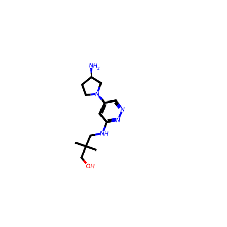 CC(C)(CO)CNc1cc(N2CC[C@@H](N)C2)cnn1